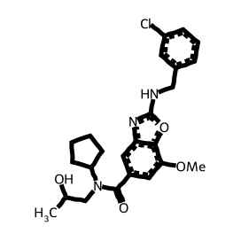 COc1cc(C(=O)N(CC(C)O)C2CCCC2)cc2nc(NCc3cccc(Cl)c3)oc12